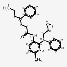 CCCN(CCC(=O)Nc1cnc(C)nc1N(CCC)c1ccccc1)c1ccccc1